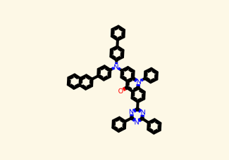 O=c1c2cc(-c3nc(-c4ccccc4)nc(-c4ccccc4)n3)ccc2n(-c2ccccc2)c2ccc(N(c3ccc(-c4ccccc4)cc3)c3ccc(-c4ccc5ccccc5c4)cc3)cc12